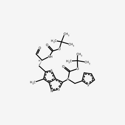 Cc1c(C[C@H](C=O)NC(=O)OC(C)(C)C)sc2c(N(Cc3cccs3)C(=O)OC(C)(C)C)snc12